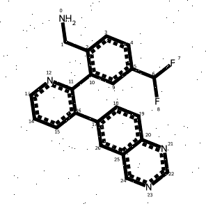 NCc1ccc(C(F)F)cc1-c1ncccc1-c1ccc2ncncc2c1